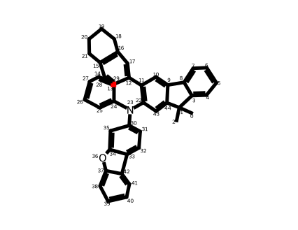 CC1(C)c2ccccc2-c2cc(-c3ccc4c(c3)CCCC4)c(N(c3ccccc3)c3ccc4c(c3)oc3ccccc34)cc21